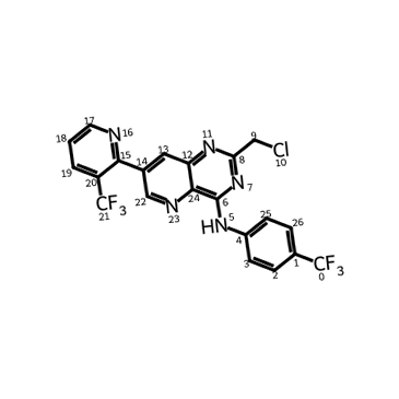 FC(F)(F)c1ccc(Nc2nc(CCl)nc3cc(-c4ncccc4C(F)(F)F)cnc23)cc1